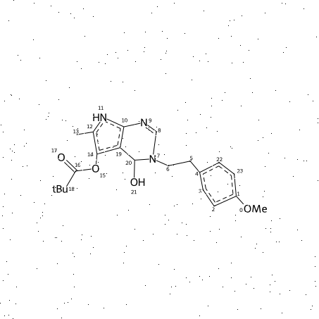 COc1ccc(CCN2C=Nc3[nH]c(C)c(OC(=O)C(C)(C)C)c3C2O)cc1